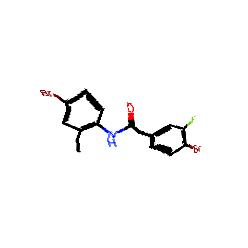 Cc1cc(Br)ccc1NC(=O)c1ccc(Br)c(F)c1